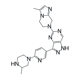 Cc1cnc2n1CCN(c1ncc3[nH]nc(-c4ccc(N5CCNC(C)C5)nc4)c3n1)C2